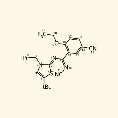 CC(C)Cn1cc(C(C)(C)C)sc1=NC(=NC#N)c1cc(C#N)ccc1OCC(F)(F)F